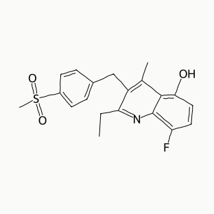 CCc1nc2c(F)ccc(O)c2c(C)c1Cc1ccc(S(C)(=O)=O)cc1